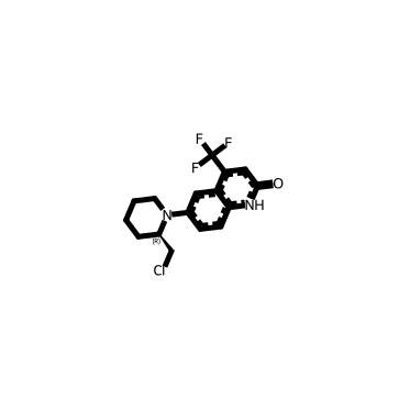 O=c1cc(C(F)(F)F)c2cc(N3CCCC[C@@H]3CCl)ccc2[nH]1